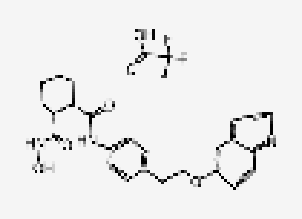 O=C(NO)[C@@H]1CCCC[C@H]1C(=O)Nc1ccc(CCOc2ccc3ncccc3c2)cc1.O=C(O)C(F)(F)F